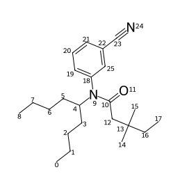 CCCCC(CCCC)N(C(=O)CC(C)(C)CC)c1cccc(C#N)c1